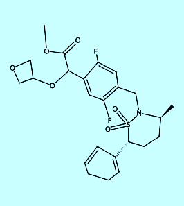 COC(=O)C(OC1COC1)c1cc(F)c(CN2[C@@H](C)CC[C@H](C3=CCCC=C3)S2(=O)=O)cc1F